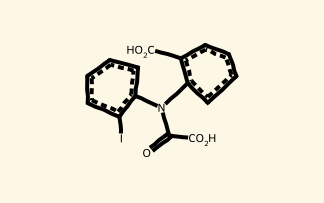 O=C(O)C(=O)N(c1ccccc1I)c1ccccc1C(=O)O